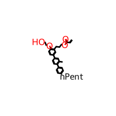 C=CC(=O)OCCCc1cc(-c2ccc(-c3ccc(CCCCC)cc3)c(C)c2)ccc1OCCO